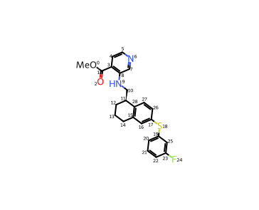 COC(=O)c1ccncc1NC[C@@H]1CCCc2cc(Sc3cccc(F)c3)ccc21